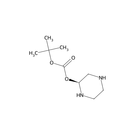 CC(C)(C)OC(=O)O[C@H]1CNCCN1